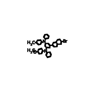 COc1ccc(N(c2ccccc2)c2cc(-c3ccc4cc(Br)ccc4c3)cc(N(c3ccccc3)c3ccc(C)cc3)c2)cc1